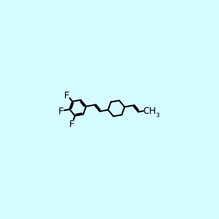 C/C=C/C1CCC(/C=C/c2cc(F)c(F)c(F)c2)CC1